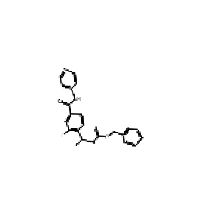 CC(NC(=O)OCc1ccccc1)c1ccc(C(=O)Nc2ccncc2)cc1F